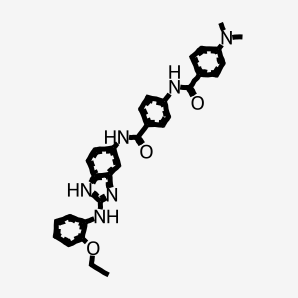 CCOc1ccccc1Nc1nc2cc(NC(=O)c3ccc(NC(=O)c4ccc(N(C)C)cc4)cc3)ccc2[nH]1